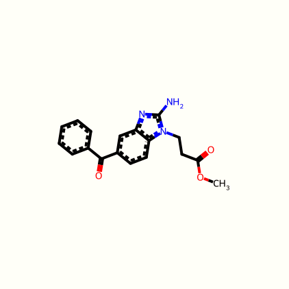 COC(=O)CCn1c(N)nc2cc(C(=O)c3ccccc3)ccc21